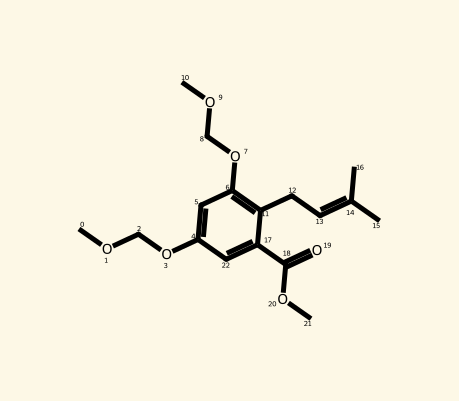 COCOc1cc(OCOC)c(CC=C(C)C)c(C(=O)OC)c1